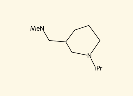 CNCC1CCCN(C(C)C)C1